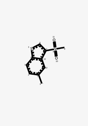 [CH2]c1ccc2scc(S(C)(=O)=O)c2c1